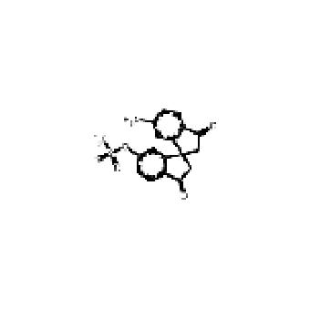 Cc1ccc2c(c1)C1(CC2=O)CC(=O)c2ccc(OS(=O)(=O)C(F)(F)F)cc21